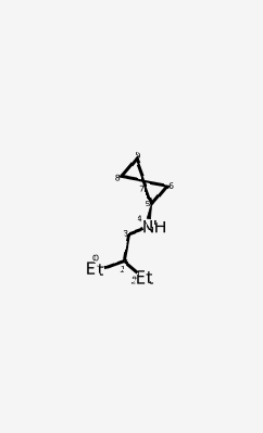 CCC(CC)CN[C@@H]1CC12CC2